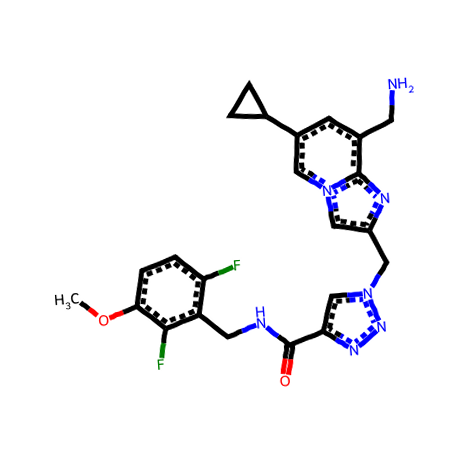 COc1ccc(F)c(CNC(=O)c2cn(Cc3cn4cc(C5CC5)cc(CN)c4n3)nn2)c1F